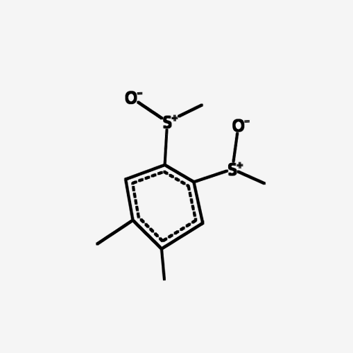 Cc1cc([S+](C)[O-])c([S+](C)[O-])cc1C